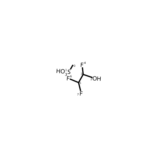 CS(=O)(=O)O.OC(F)C(F)F